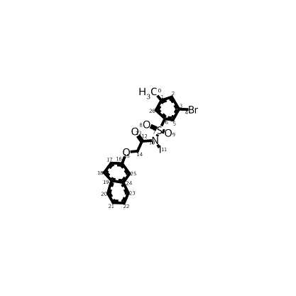 Cc1cc(Br)cc(S(=O)(=O)N(I)C(=O)COc2ccc3ccccc3c2)c1